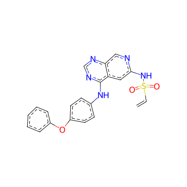 C=CS(=O)(=O)Nc1cc2c(Nc3ccc(Oc4ccccc4)cc3)ncnc2cn1